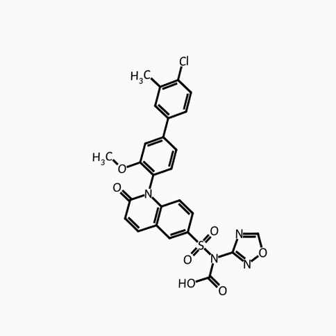 COc1cc(-c2ccc(Cl)c(C)c2)ccc1-n1c(=O)ccc2cc(S(=O)(=O)N(C(=O)O)c3ncon3)ccc21